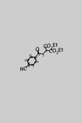 CCOC(=O)C(CC(=O)c1ccc(C#N)cc1)C(=O)OCC